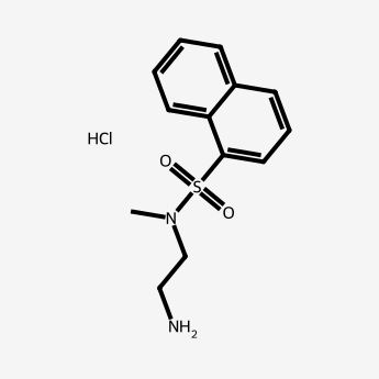 CN(CCN)S(=O)(=O)c1cccc2ccccc12.Cl